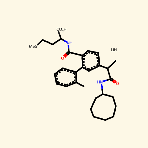 CSCCC(NC(=O)c1ccc(C(C)C(=O)NC2CCCCCCC2)cc1-c1ccccc1C)C(=O)O.[LiH]